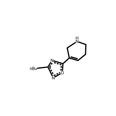 CCCCc1noc(C2=CCCNC2)n1